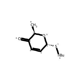 CCCCS[C@@H]1C=CC(=O)[C@@H](C)O1